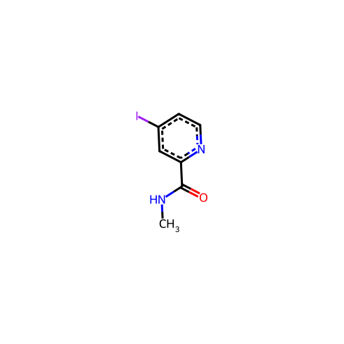 CNC(=O)c1cc(I)ccn1